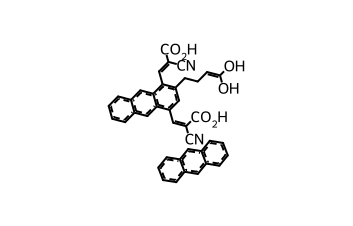 N#CC(=Cc1cc(CCC=C(O)O)c(/C=C(\C#N)C(=O)O)c2cc3ccccc3cc12)C(=O)O.c1ccc2cc3ccccc3cc2c1